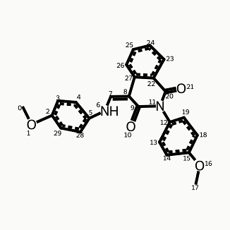 COc1ccc(NC=C2C(=O)N(c3ccc(OC)cc3)C(=O)c3ccccc32)cc1